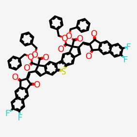 O=C1C(=CC2=Cc3cc4sc5cc6c(cc5c4cc3C2(C(=O)OCc2ccccc2)C(=O)OCc2ccccc2)C(C(=O)OCc2ccccc2)(C(=O)OCc2ccccc2)C(C=C2C(=O)c3cc4cc(F)c(F)cc4cc3C2=O)=C6)C(=O)c2cc3cc(F)c(F)cc3cc21